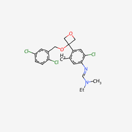 CCN(C)C=Nc1cc(C)c(C2(OCc3cc(Cl)ccc3Cl)COC2)cc1Cl